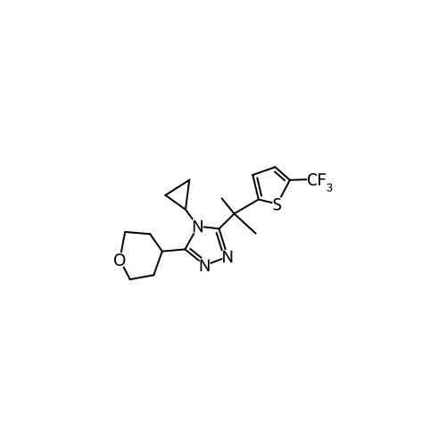 CC(C)(c1ccc(C(F)(F)F)s1)c1nnc(C2CCOCC2)n1C1CC1